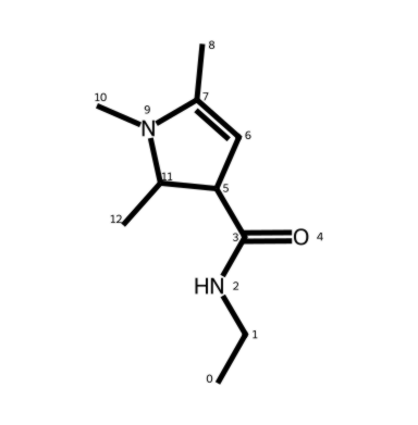 CCNC(=O)C1C=C(C)N(C)C1C